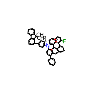 CC1(C)c2ccccc2-c2cccc(-c3ccc(N(c4ccc(-c5ccccc5)cc4)c4ccccc4-c4cccc5cccc(-c6ccccc6F)c45)cc3)c21